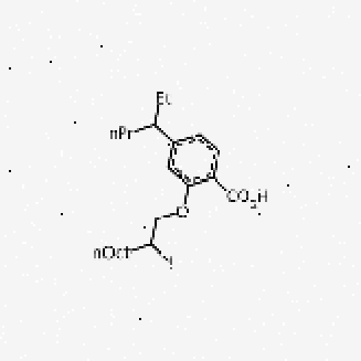 CCCCCCCCC(I)COc1cc(C(CC)CCC)ccc1C(=O)O